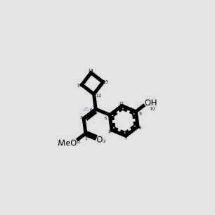 COC(=O)/C=C(\c1cccc(O)c1)C1CCC1